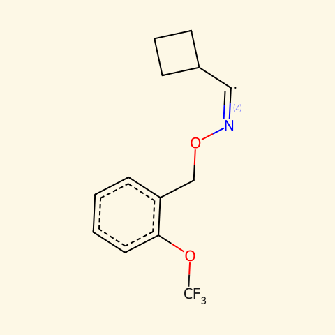 FC(F)(F)Oc1ccccc1CO/N=[C]\C1CCC1